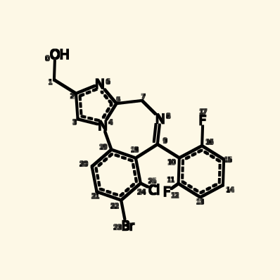 OCc1cn2c(n1)CN=C(c1c(F)cccc1F)c1c-2ccc(Br)c1Cl